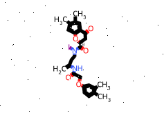 C=C(CCN(I)C(=O)[C@@H]1CC(=O)c2cc(C)c(C)cc2O1)NC(=O)COc1ccc(C)c(C)c1